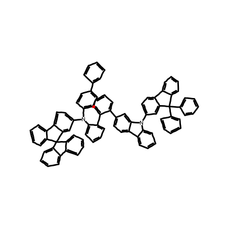 c1ccc(-c2ccc(N(c3ccc4c(c3)C3(c5ccccc5-c5ccccc53)c3ccccc3-4)c3ccccc3-c3ccccc3-c3ccc4c5ccccc5n(-c5ccc6c(c5)C(c5ccccc5)(c5ccccc5)c5ccccc5-6)c4c3)cc2)cc1